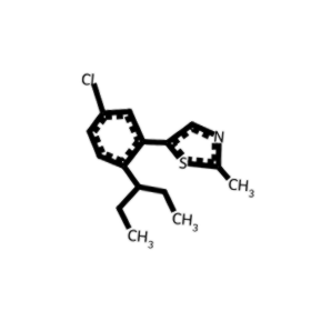 CCC(CC)c1ccc(Cl)cc1-c1cnc(C)s1